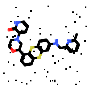 Cc1cccc(CNc2ccc3c(c2)Sc2cccc(C4CN(c5ccc[nH]c5=O)CCO4)c2S3)n1